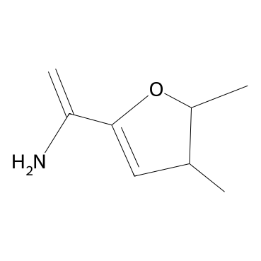 C=C(N)C1=CC(C)C(C)O1